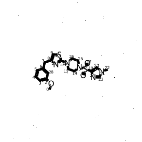 COc1cccc(Cc2csc(N3CCN(S(=O)(=O)c4cn(C)cn4)CC3)n2)c1